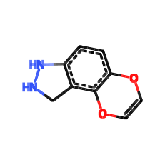 C1=COc2c(ccc3c2CNN3)O1